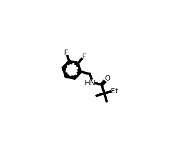 CCC(C)(C)C(=O)NCc1cccc(F)c1F